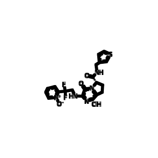 Cl.O=C(NCc1ccsc1)[C@@H]1CCc2cnc(NCC(F)(F)c3cccc[n+]3[O-])c(=O)n21